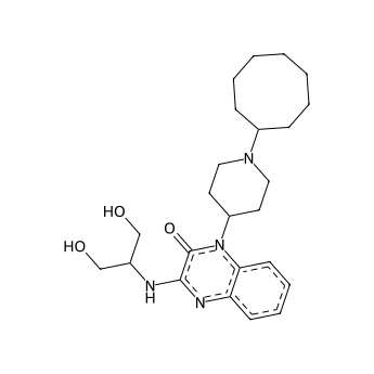 O=c1c(NC(CO)CO)nc2ccccc2n1C1CCN(C2CCCCCCC2)CC1